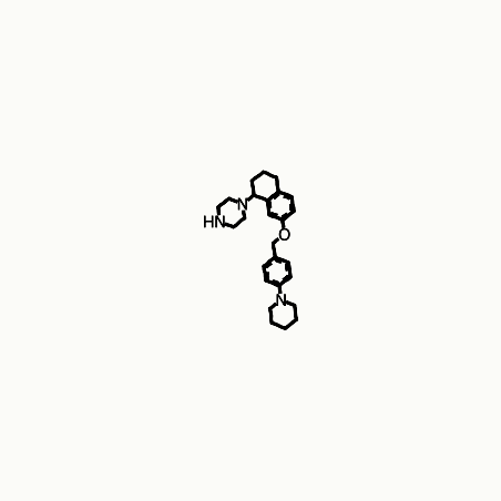 c1cc(N2CCCCC2)ccc1COc1ccc2c(c1)C(N1CCNCC1)CCC2